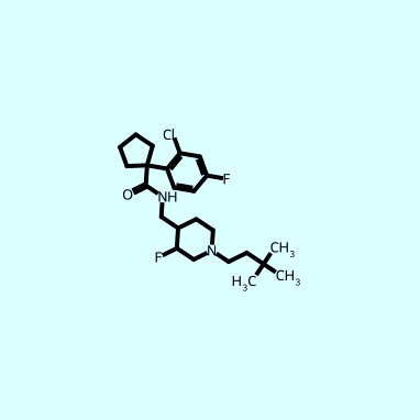 CC(C)(C)CCN1CCC(CNC(=O)C2(c3ccc(F)cc3Cl)CCCC2)C(F)C1